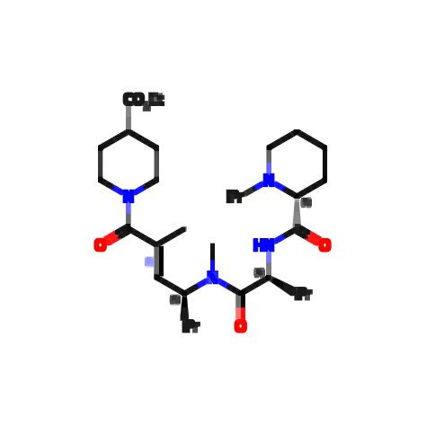 CCOC(=O)C1CCN(C(=O)/C(C)=C/[C@H](C(C)C)N(C)C(=O)[C@@H](NC(=O)[C@H]2CCCCN2C(C)C)C(C)C)CC1